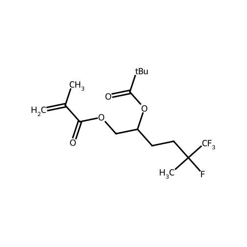 C=C(C)C(=O)OCC(CCC(C)(F)C(F)(F)F)OC(=O)C(C)(C)C